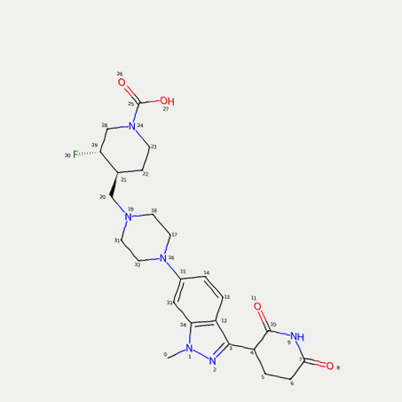 Cn1nc(C2CCC(=O)NC2=O)c2ccc(N3CCN(C[C@@H]4CCN(C(=O)O)C[C@H]4F)CC3)cc21